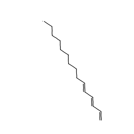 [CH2]CCCCCCCCC=CC=CC=C